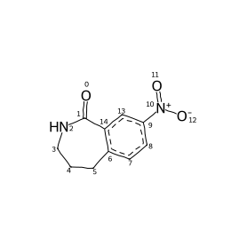 O=C1NCCCc2ccc([N+](=O)[O-])cc21